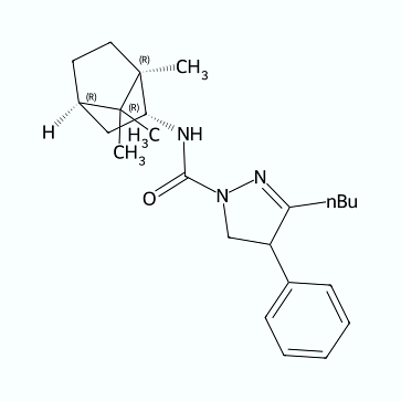 CCCCC1=NN(C(=O)N[C@@H]2C[C@H]3CC[C@]2(C)C3(C)C)CC1c1ccccc1